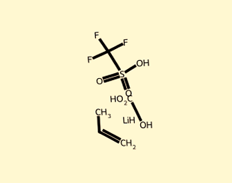 C=CC.O=C(O)O.O=S(=O)(O)C(F)(F)F.[LiH]